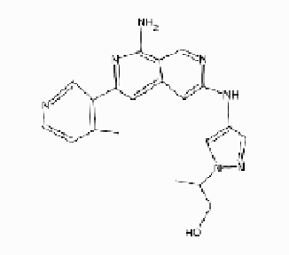 Cc1ccncc1-c1cc2cc(Nc3cnn(C(C)CO)c3)ncc2c(N)n1